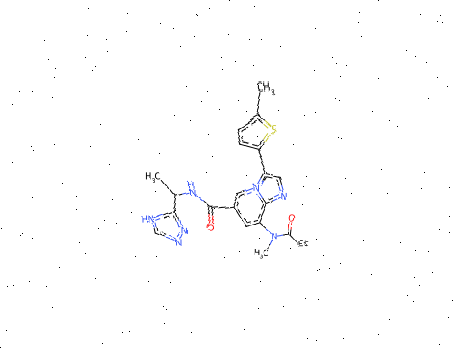 CCC(=O)N(C)c1cc(C(=O)NC(C)c2nnc[nH]2)cn2c(-c3ccc(C)s3)cnc12